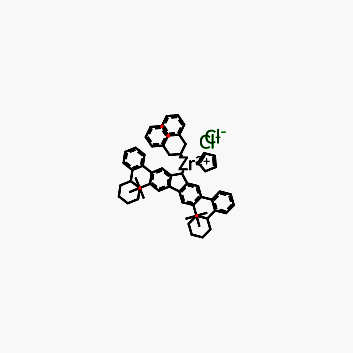 CC(C)(C)c1cc2c(cc1-c1ccccc1C1CCCCC1)[CH]([Zr+2]([C]1=CC=CC1)=[C](Cc1ccccc1)Cc1ccccc1)c1cc(-c3ccccc3C3CCCCC3)c(C(C)(C)C)cc1-2.[Cl-].[Cl-]